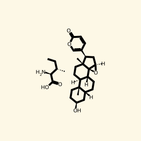 CC[C@H](C)[C@H](N)C(=O)O.C[C@]12CC[C@H](O)C[C@H]1CC[C@@H]1[C@@H]2CC[C@]2(C)[C@@H](c3ccc(=O)oc3)C[C@H]3O[C@]132